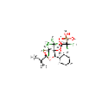 C=C(C)C(=O)OC(C1CCCCC1)C(OC(=O)C(F)(F)S(=O)(=O)O)(C(F)(F)F)C(F)(F)F